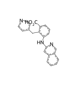 O=C(O)c1cccc(Nc2cc3ccccc3cn2)c1Cc1ccncc1